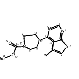 Cc1csc2ncnc(N3CCN(C(=O)OC(C)(C)C)CC3)c12